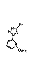 CCc1nnn(-c2cccc(OC)c2)n1